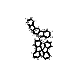 c1ccc2c(c1)-c1ccccc1C21c2ccccc2-c2ccc(-n3c4ccccc4c4cc5c(cc43)sc3ncccc35)cc21